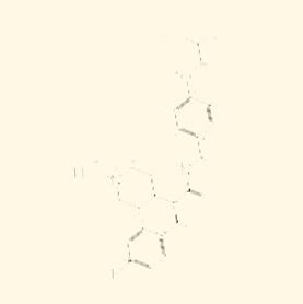 CC(C)COc1ccc(CNC(=O)[C@@H](Cc2ccc(F)cc2)C2CCN(C)CC2)cc1